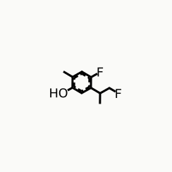 Cc1cc(F)c(C(C)CF)cc1O